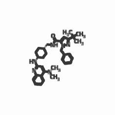 CN(C)c1cc(N[C@H]2CC[C@@H](CNC(=O)c3cc(C(C)(C)C)nn3Cc3ccccc3)CC2)nc2ccccc12